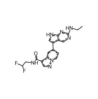 CCNc1ncc2c(-c3ccn4ncc(C(=O)NCC(F)F)c4c3)c[nH]c2n1